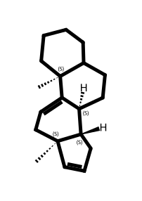 C[C@@]12C=CC[C@H]1[C@@H]1CCC3CCCC[C@]3(C)C1=CC2